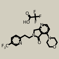 O=C(O)C(F)(F)F.O=C1c2c(N3CCOCC3)ccnc2CN1CCc1ccc(C(F)(F)F)cn1